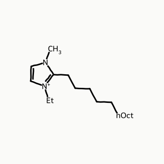 CCCCCCCCCCCCCc1n(C)cc[n+]1CC